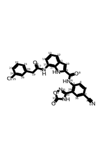 N#Cc1ccc(NC(=O)c2cc3cccc(NC(=O)Cc4cccc(Cl)c4)c3[nH]2)c(-c2noc(=O)[nH]2)c1